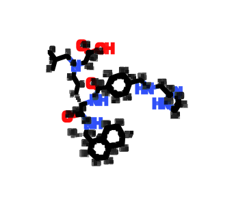 CC(C)CN(CCC[C@H](NC(=O)c1ccc(CNCc2ncc[nH]2)cc1)C(=O)N[C@@H](C)c1cccc2ccccc12)CC(=O)O